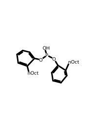 CCCCCCCCc1ccccc1OP(O)Oc1ccccc1CCCCCCCC